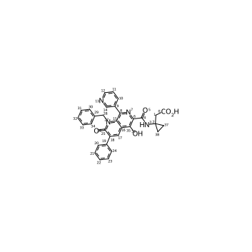 O=C(O)CC1(NC(=O)c2nc(-c3cccnc3)c3c(cc(-c4ccccc4)c(=O)n3Cc3ccccc3)c2O)CC1